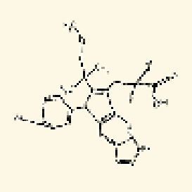 COCC(C)(C)c1c(CC(F)(F)C(=O)O)c2cc3[nH]ncc3cc2n1-c1ccc(F)cc1